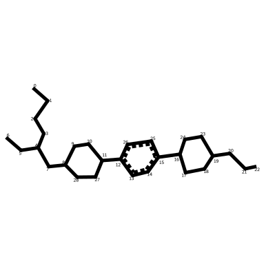 CCCCC(CC)CC1CCC(c2ccc(C3CCC(CCC)CC3)cc2)CC1